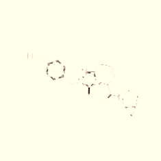 Cc1ccc(Cn2nc3n(c2=O)C(C(=O)N2CCC4CC42)CCC3)cc1